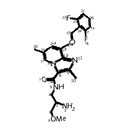 COCC(N)CNC(=O)c1c(C)nc2c(OCc3c(F)cccc3F)cc(C)cn12